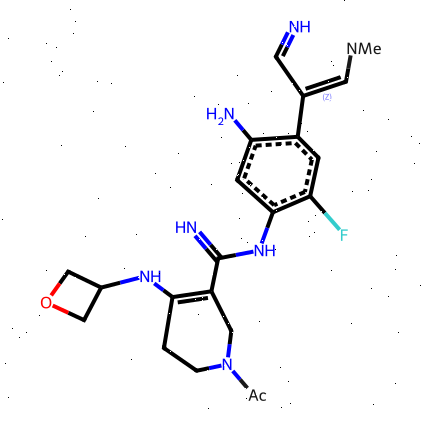 CN/C=C(\C=N)c1cc(F)c(NC(=N)C2=C(NC3COC3)CCN(C(C)=O)C2)cc1N